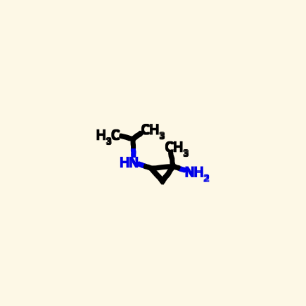 CC(C)NC1CC1(C)N